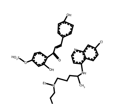 CCN(CCO)CCCC(C)Nc1ccnc2cc(Cl)ccc12.O=C(/C=C/c1ccc(O)cc1)c1ccc(OS(=O)(=O)O)cc1O